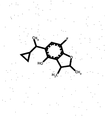 CC1Oc2c(F)cc(C(C)C3CC3)c(O)c2C1C